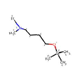 CCN(C)CCCCO[Si](C)(C)C